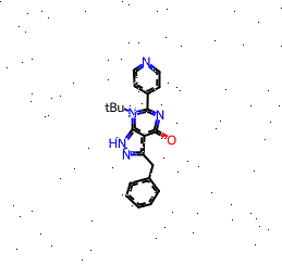 CC(C)(C)n1c(-c2ccncc2)nc(=O)c2c(Cc3ccccc3)n[nH]c21